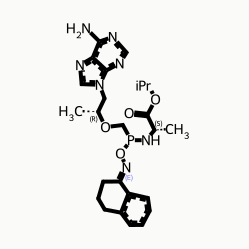 CC(C)OC(=O)[C@H](C)NP(CO[C@H](C)Cn1cnc2c(N)ncnc21)O/N=C1\CCCc2ccccc21